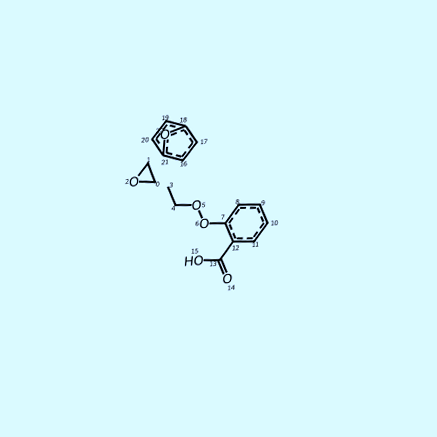 C1CO1.CCOOc1ccccc1C(=O)O.c1cc2ccc1o2